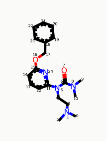 CN(C)CCN(C(=O)N(C)C)c1cccc(OCc2ccccc2)n1